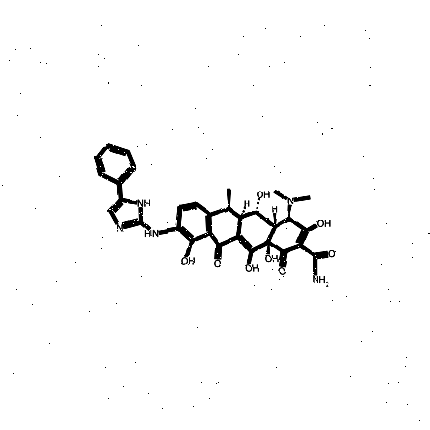 C[C@@H]1c2ccc(Nc3ncc(-c4ccccc4)[nH]3)c(O)c2C(=O)C2=C(O)[C@@]3(O)C(=O)C(C(N)=O)=C(O)[C@H](N(C)C)[C@H]3[C@@H](O)[C@@H]21